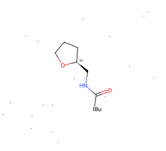 CC(C)(C)C(=O)NC[C@@H]1CCCO1